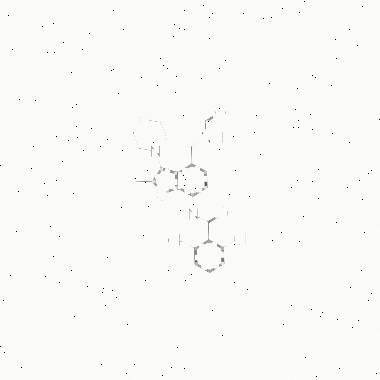 Cc1oc2c(NC(=O)c3c(Cl)cccc3Cl)ccc(CNC=O)c2c1N1CCOCC1